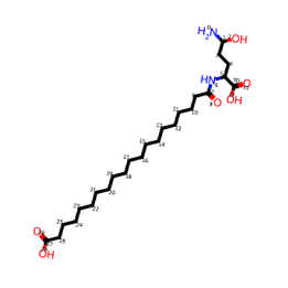 NC(O)CCC(NC(=O)CCCCCCCCCCCCCCCCCCC(=O)O)C(=O)O